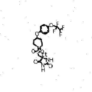 CC[C@]1(CS(=O)(=O)N2CCC(Oc3ccc(OC(F)(F)C(F)F)cc3)CC2)NC(=O)NC1=O